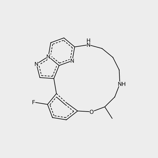 CC1CNCCCNc2ccn3ncc(c3n2)-c2cc(ccc2F)O1